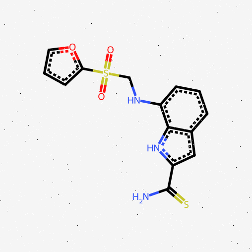 NC(=S)c1cc2cccc(NCS(=O)(=O)c3ccco3)c2[nH]1